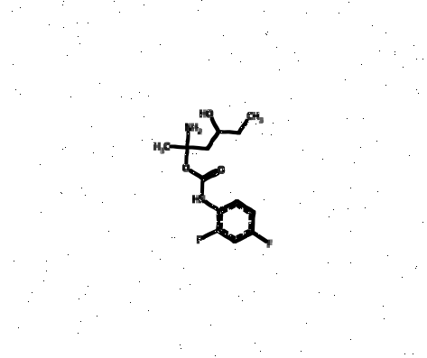 CCC(O)CC(C)(N)OC(=O)Nc1ccc(F)cc1F